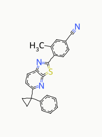 Cc1cc(C#N)ccc1-c1nc2ccc(C3(c4ccccc4)CC3)nc2s1